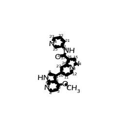 COc1ccnc2[nH]cc(-c3ccn4ncc(C(=O)Nc5cccnc5)c4c3)c12